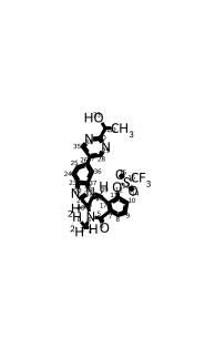 [2H]C([2H])([2H])N1C(=O)c2cccc(OS(=O)(=O)C(F)(F)F)c2[C@H]2C[C@@H]1c1nc3ccc(-c4cnc(C(C)O)nc4)cc3n12